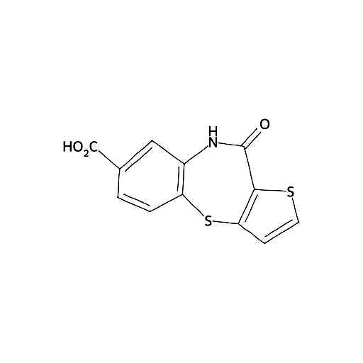 O=C(O)c1ccc2c(c1)NC(=O)c1sccc1S2